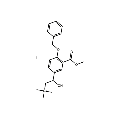 COC(=O)c1cc(C(O)C[N+](C)(C)C)ccc1OCc1ccccc1.[I-]